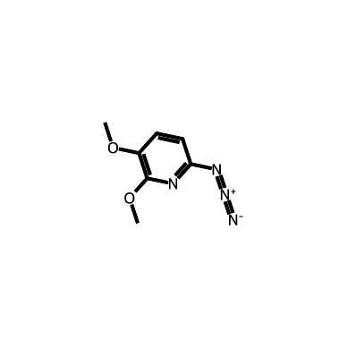 COc1ccc(N=[N+]=[N-])nc1OC